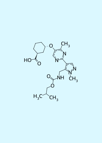 Cc1nc(-c2cnn(C)c2CNC(=O)OCC(C)C)ncc1O[C@H]1CCC[C@H](C(=O)O)C1